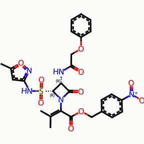 CC(C)=C(C(=O)OCc1ccc([N+](=O)[O-])cc1)N1C(=O)[C@@H](NC(=O)COc2ccccc2)[C@H]1S(=O)(=O)Nc1cc(C)on1